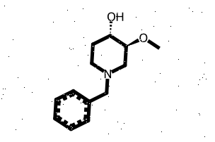 CO[C@H]1CN(Cc2ccccc2)CC[C@@H]1O